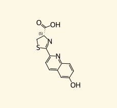 O=C(O)[C@H]1CSC(c2ccc3cc(O)ccc3n2)=N1